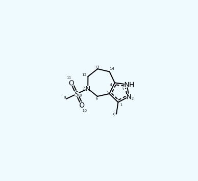 Cc1n[nH]c2c1CN(S(C)(=O)=O)CCC2